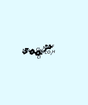 O=C(O)C(c1ncn2c1CC(F)C2)n1cc2c(Cl)cc(-c3ccc(N4CCN5CCC4C5)cc3)c(Cl)c2n1